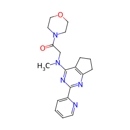 CN(CC(=O)N1CCOCC1)c1nc(-c2ccccn2)nc2c1CCC2